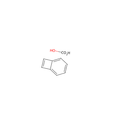 C1=Cc2ccccc21.O=C(O)O